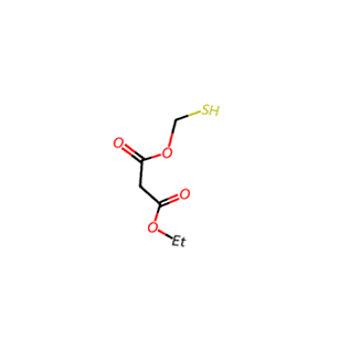 CCOC(=O)CC(=O)OCS